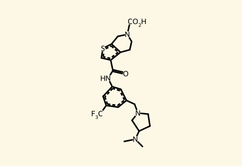 CN(C)C1CCN(Cc2cc(NC(=O)c3csc4c3CCN(C(=O)O)C4)cc(C(F)(F)F)c2)C1